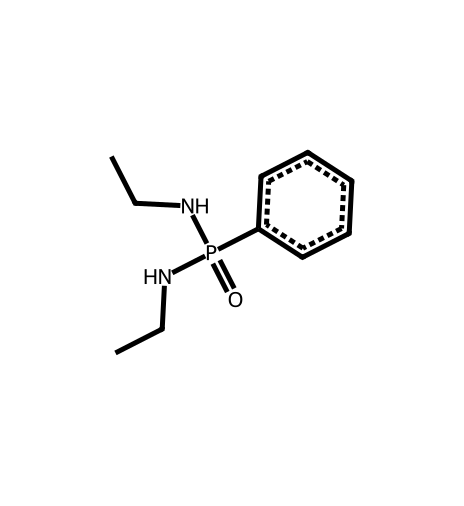 CCNP(=O)(NCC)c1ccccc1